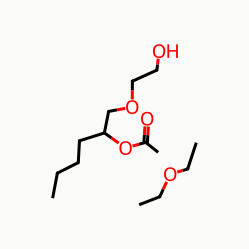 CCCCC(COCCO)OC(C)=O.CCOCC